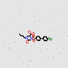 CCCCN1CC(C(=O)OC)N(S(=O)(=O)c2ccc(-c3ccc(Br)cc3)cc2)CC1=O